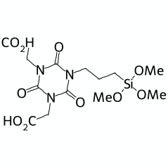 CO[Si](CCCn1c(=O)n(CC(=O)O)c(=O)n(CC(=O)O)c1=O)(OC)OC